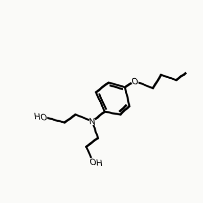 CCCCOc1ccc(N(CCO)CCO)cc1